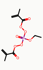 C=C(C)C(=O)OOP(=O)(OCC)OOC(=O)C(=C)C